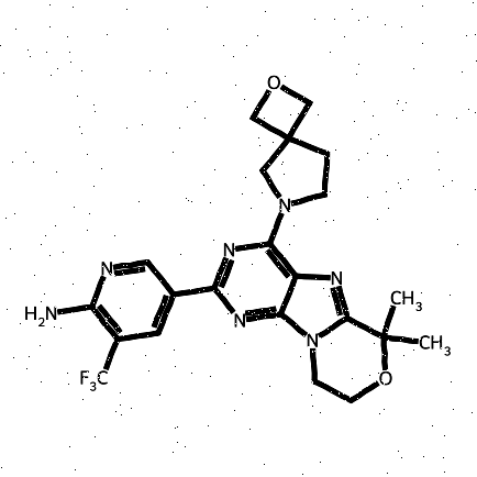 CC1(C)OCCn2c1nc1c(N3CCC4(COC4)C3)nc(-c3cnc(N)c(C(F)(F)F)c3)nc12